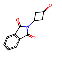 O=C1CC(N2C(=O)c3ccccc3C2=O)C1